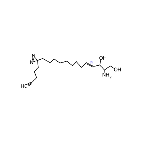 C#CCCCC1(CCCCCCCC/C=C/C(O)C(N)CO)N=N1